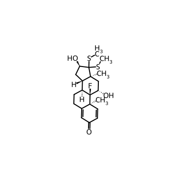 CSC1(SC)[C@H](O)C[C@H]2[C@@H]3CCC4=CC(=O)C=C[C@]4(C)[C@@]3(F)[C@@H](O)C[C@@]21C